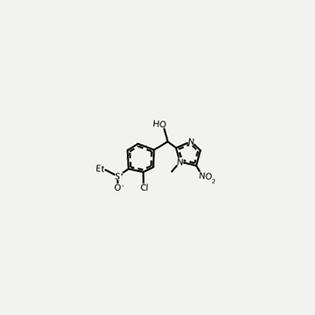 CC[S+]([O-])c1ccc(C(O)c2ncc([N+](=O)[O-])n2C)cc1Cl